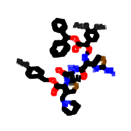 COc1ccc(COC(=O)C2=C(C[n+]3ccccc3)CS[C@@H]3[C@H](NC(=O)C(=NOC(C(=O)OC(c4ccccc4)c4ccccc4)c4ccc(OC(C)=O)c(OC(C)=O)c4)c4csc(N)n4)C(=O)N23)cc1